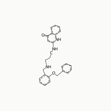 O=c1cc(NCCCNCc2ccccc2OCc2ccccc2)[nH]c2ccccc12